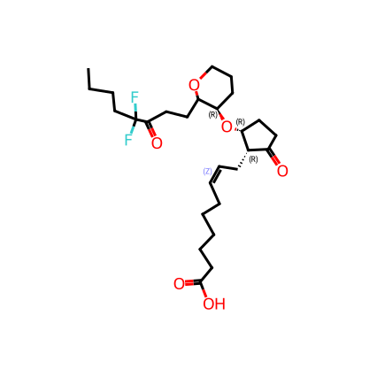 CCCCC(F)(F)C(=O)CCC1OCCC[C@H]1O[C@@H]1CCC(=O)[C@@H]1C/C=C\CCCCCC(=O)O